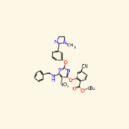 CN1CCN=C1c1cccc(Oc2nc(NCc3ccccc3)c([N+](=O)[O-])c(Oc3cc(C#N)ccc3C(=O)OC(C)(C)C)n2)c1